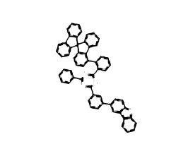 c1ccc(-c2nc(-c3cccc(-c4ccc5sc6ccccc6c5c4)c3)nc(-c3ccccc3-c3cccc4c3-c3ccccc3C43c4ccccc4-c4ccccc43)n2)cc1